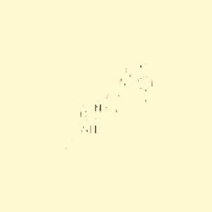 O=C(CN1C(=O)SC(=C2CCN(C(=O)c3cc(Cl)ccc3Cl)CC2)C1=O)NCCC1CCC1